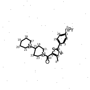 CCCc1ccc(-c2nc(C)c(C(=O)N3CCC(N4CCCCC4)CC3)s2)cc1